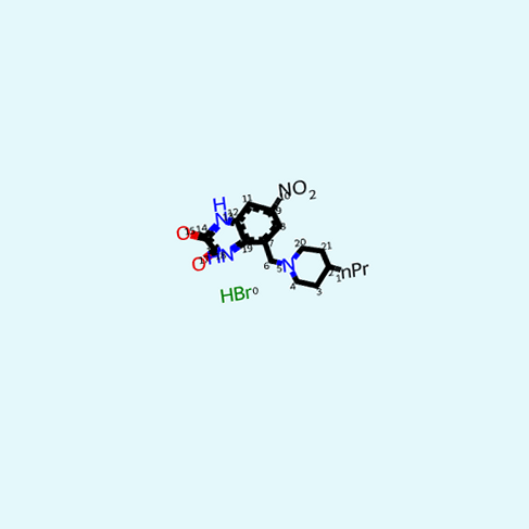 Br.CCCC1CCN(Cc2cc([N+](=O)[O-])cc3[nH]c(=O)c(=O)[nH]c23)CC1